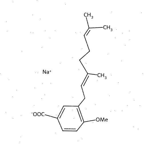 COc1ccc(C(=O)[O-])cc1C/C=C(\C)CCC=C(C)C.[Na+]